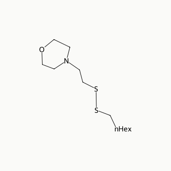 CCCCCCCSSCCN1CCOCC1